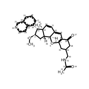 CO[C@@H]1C[C@H]2[C@@H]3OC4=C(C=C3C=C[C@]2(C)[C@H]1c1cccc2cnccc12)C(=O)CC(CNC(C)=O)C4